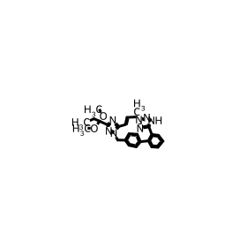 CCC=Cc1nc(C(CC)(OC)OC)nn1Cc1ccc(-c2ccccc2-c2nnn[nH]2)cc1